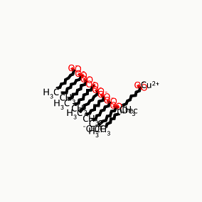 CCCCCCCCCC(=O)[O-].CCCCCCCCCC(=O)[O-].CCCCCCCCCC(=O)[O-].CCCCCCCCCC(=O)[O-].CCCCCCCCCC(=O)[O-].CCCCCCCCCC(=O)[O-].CCCCCCCCCC(=O)[O-].CCCCCCCCCC(=O)[O-].CCCCCCCCCC(=O)[O-].CCCCCCCCCCCCCCCCCC(=O)[O-].[Cu+2]